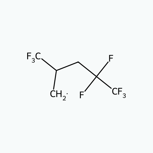 [CH2]C(CC(F)(F)C(F)(F)F)C(F)(F)F